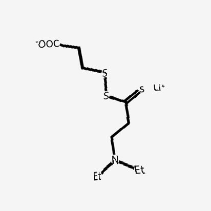 CCN(CC)CCC(=S)SSCCC(=O)[O-].[Li+]